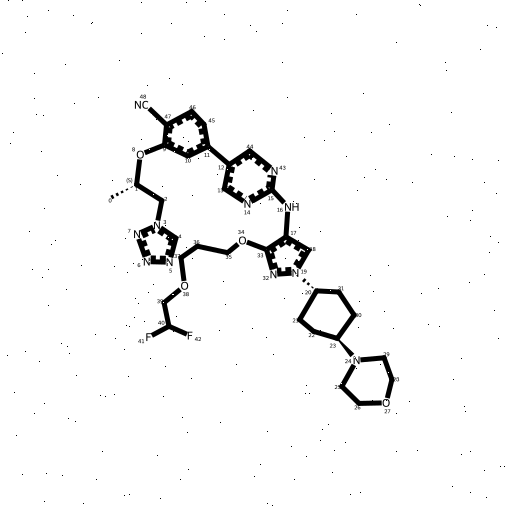 C[C@@H](Cn1cnnn1)Oc1cc(-c2cnc(Nc3cn([C@H]4CC[C@H](N5CCOCC5)CC4)nc3OCCCOCC(F)F)nc2)ccc1C#N